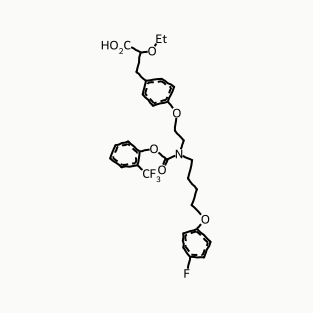 CCOC(Cc1ccc(OCCN(CCCCOc2ccc(F)cc2)C(=O)Oc2ccccc2C(F)(F)F)cc1)C(=O)O